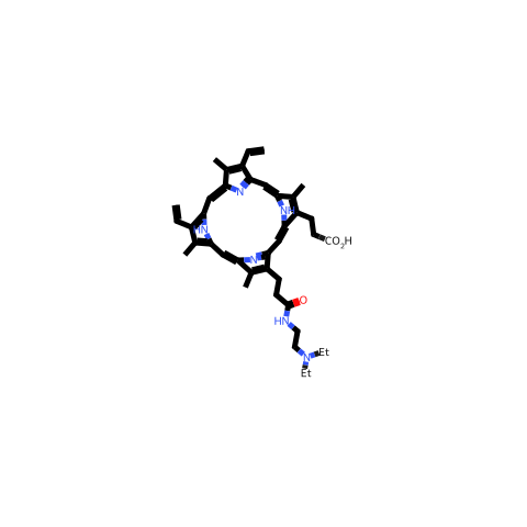 C=CC1=C(C)c2cc3[nH]c(cc4nc(cc5[nH]c(cc1n2)c(C)c5CCC(=O)O)C(CCC(=O)NCCN(CC)CC)=C4C)c(C)c3C=C